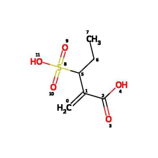 C=C(C(=O)O)C(CC)S(=O)(=O)O